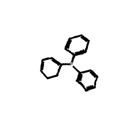 [CH]1CC=CC=C1P(c1ccccc1)c1ccccc1